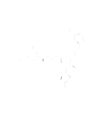 CCCN(CCC)C(=O)CCCC(=O)O[C@H](CNCc1cccc(OC)c1)[C@@H](N)Cc1ccc(O)cc1